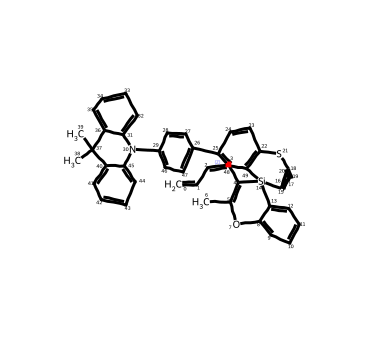 C=C/C=C\C1=C(C)Oc2ccccc2[Si]12c1ccccc1Sc1ccc(-c3ccc(N4c5ccccc5C(C)(C)c5ccccc54)cc3)cc12